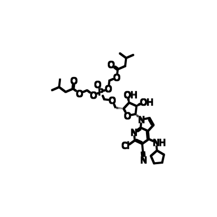 CC(C)CC(=O)OCOP(=O)(COC[C@H]1O[C@@H](n2ccc3c(NC4CCCC4)c(C#N)c(Cl)nc32)[C@H](O)[C@@H]1O)OCOC(=O)CC(C)C